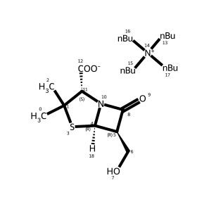 CC1(C)S[C@@H]2[C@H](CO)C(=O)N2[C@H]1C(=O)[O-].CCCC[N+](CCCC)(CCCC)CCCC